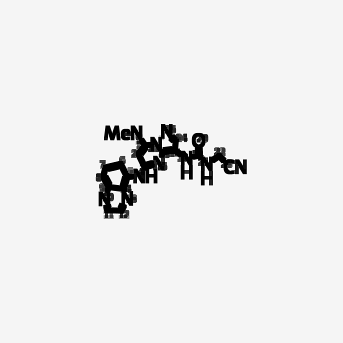 CNc1cc(Nc2cccc3nccnc23)nc2c(NC(=O)NCC#N)cnn12